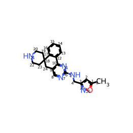 Cc1cc(CNc2ncc3c(n2)-c2ccccc2C2(CCNCC2)C3)no1